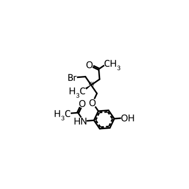 CC(=O)C[C@@](C)(CBr)COc1cc(O)ccc1NC(C)=O